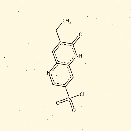 CCc1cc2ncc(S(=O)(=O)Cl)cc2[nH]c1=O